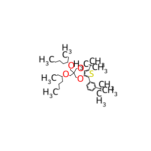 CCCCC(CC)OCC1(COC(CC)CCCC)COc2c(-c3cccc(C(C)(C)C)c3)sc(C(C)(C)C)c2OC1